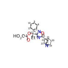 CCC(OC(=O)C(=O)O)(c1ccccc1)c1noc(C2CN3CCC2CC3)n1